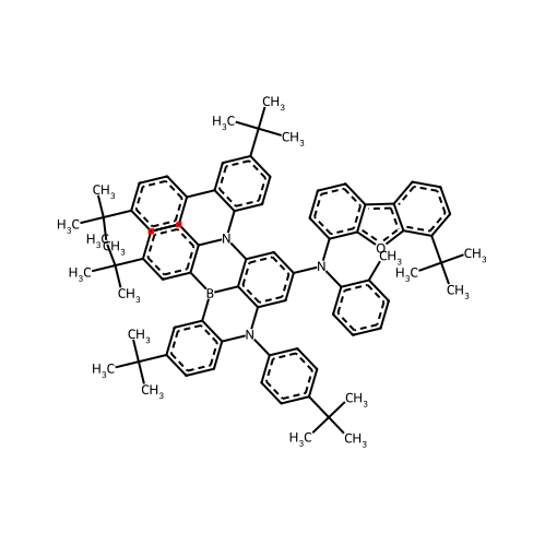 Cc1ccccc1N(c1cc2c3c(c1)N(c1ccc(C(C)(C)C)cc1-c1ccc(C(C)(C)C)cc1)c1ccc(C(C)(C)C)cc1B3c1cc(C(C)(C)C)ccc1N2c1ccc(C(C)(C)C)cc1)c1cccc2c1oc1c(C(C)(C)C)cccc12